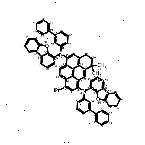 CC(C)c1cc(N(c2cccc(-c3ccccc3)c2)c2cccc3c4c(oc23)CCC=C4)c2cc3c4c(cc(N(c5cccc(-c6ccccc6)c5)c5cccc6c5oc5ccccc56)c5ccc1c2c54)CCC3(C)C